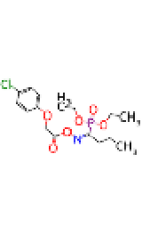 CCCC(=NOC(=O)COc1ccc(Cl)cc1)P(=O)(OCC)OCC